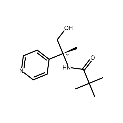 CC(C)(C)C(=O)N[C@@](C)(CO)c1ccncc1